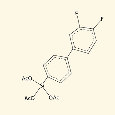 CC(=O)O[Si](OC(C)=O)(OC(C)=O)c1ccc(-c2ccc(F)c(F)c2)cc1